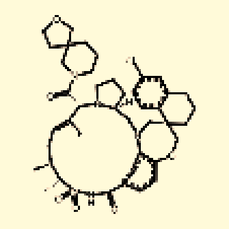 C[C@@H]1[C@@H](C)C/C=C(\F)[C@H](C(=O)N2CCCC3(CCOC3)C2)N2CCC[C@H]2CN2C[C@@]3(CCCc4cc(Cl)ccc43)COc3ccc(cc32)C(=O)NS1(=O)=O